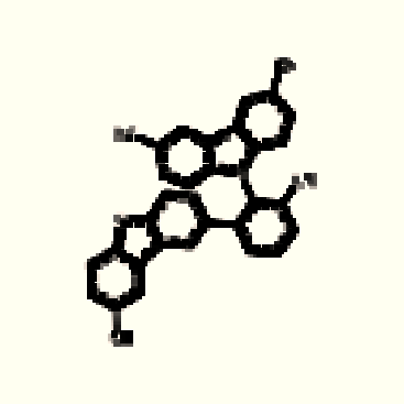 N#Cc1ccc2sc3ccc(-c4cccc(C#N)c4-n4c5ccc(C#N)cc5c5cc(C#N)ccc54)cc3c2c1